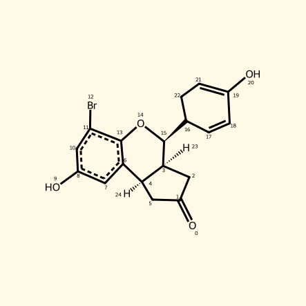 O=C1C[C@H]2[C@@H](C1)c1cc(O)cc(Br)c1O[C@H]2C1C=CC(O)=CC1